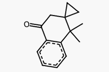 CC1(C)c2ccccc2C(=O)CC12CC2